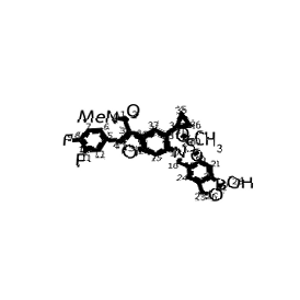 CNC(=O)c1c(-c2ccc(F)c(F)c2)oc2cc(N(Cc3ccc4c(c3)COB4O)S(C)(=O)=O)c(C3CC3)cc12